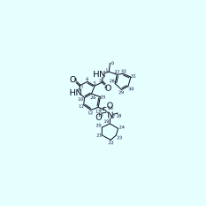 CC(NC(=O)c1cc(=O)[nH]c2ccc(S(=O)(=O)N(C)C3CCCCC3)cc12)c1ccccc1